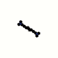 CC1(C)c2cc(-c3ccc(-c4ccc(N(c5ccccc5)c5ccccc5)cc4)cc3)ccc2-c2cc3c(cc21)-c1ccc(-c2ccc(C4C=CC(N(c5ccccc5)c5ccccc5)=CC4)cc2)cc1C3(C)C